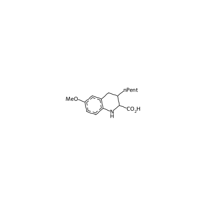 CCCCCC1Cc2cc(OC)ccc2NC1C(=O)O